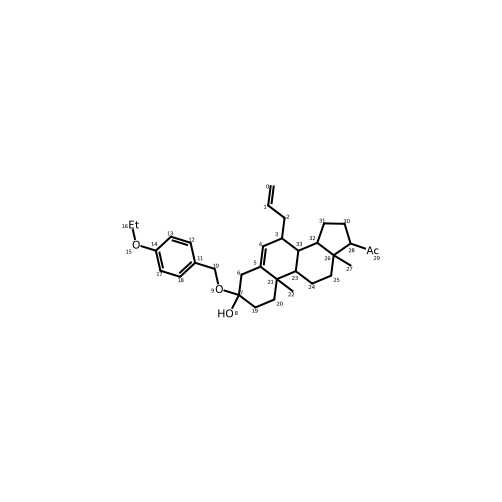 C=CCC1C=C2CC(O)(OCc3ccc(OCC)cc3)CCC2(C)C2CCC3(C)C(C(C)=O)CCC3C12